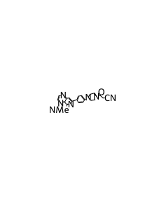 CNc1nc(-c2ccc(N3CCN(C(=O)CC#N)CC3)cc2)cc2nccnc12